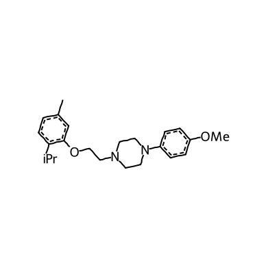 COc1ccc(N2CCN(CCOc3cc(C)ccc3C(C)C)CC2)cc1